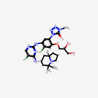 Cn1nnn(-c2cc(Nc3ncc(F)c(N[C@@H]4C[C@@H]5CCCN5C(C)(C)C4)n3)c(F)cc2OCC(O)CO)c1=O